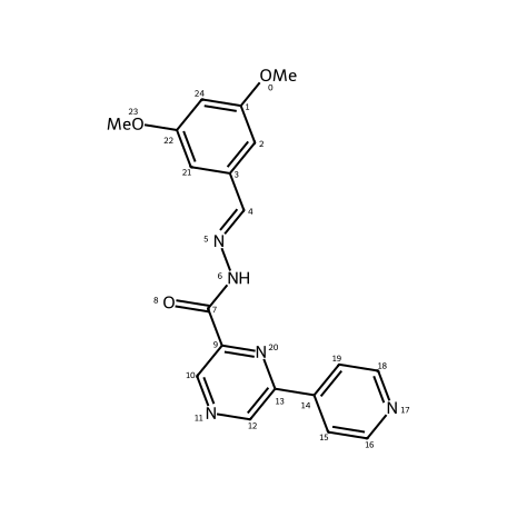 COc1cc(C=NNC(=O)c2cncc(-c3ccncc3)n2)cc(OC)c1